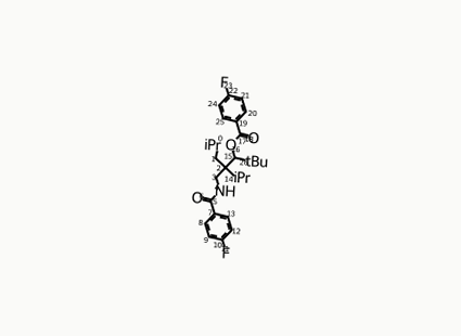 CC(C)CC(CNC(=O)c1ccc(F)cc1)(C(C)C)C(OC(=O)c1ccc(F)cc1)C(C)(C)C